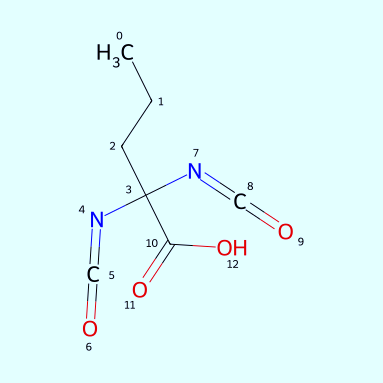 CCCC(N=C=O)(N=C=O)C(=O)O